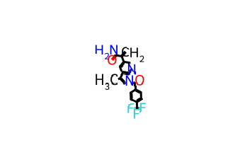 C=C(C(N)=O)c1cnc2c(c1)c(C)cn2C(=O)c1ccc(C(F)(F)F)cc1